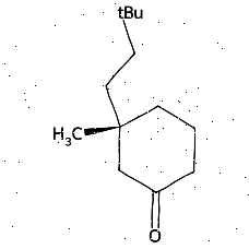 CC(C)(C)CC[C@]1(C)CCCC(=O)C1